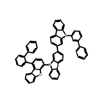 c1ccc(-c2cccc(-n3c4ccccc4c4ccc(-c5ccc6c7ccccc7n(-c7ccc(-c8ccccc8-c8ccccc8)c8c7oc7ccccc78)c6c5)cc43)c2)cc1